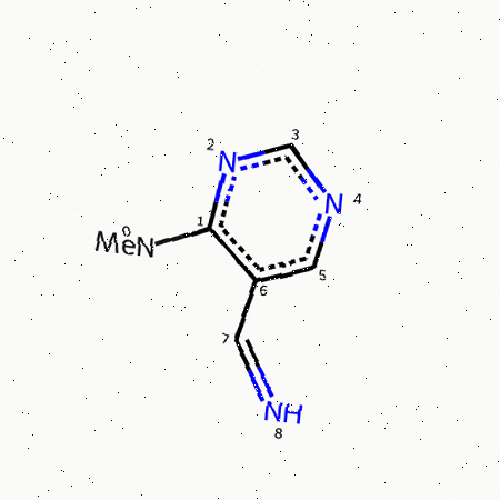 CNc1ncncc1C=N